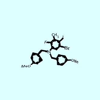 COc1ccc(CN(Cc2ccc(OC)cc2)c2cc(Br)c(I)c(C)c2F)cc1